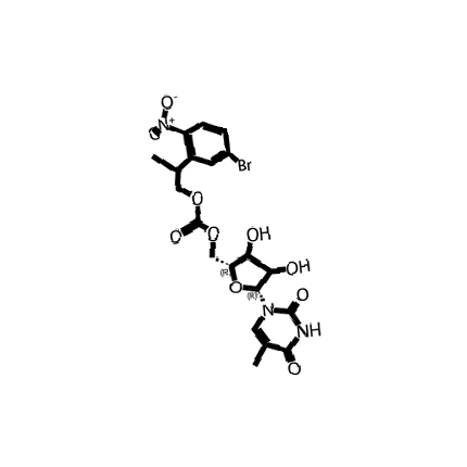 Cc1cn([C@@H]2O[C@H](COC(=O)OCC(C)c3cc(Br)ccc3[N+](=O)[O-])C(O)C2O)c(=O)[nH]c1=O